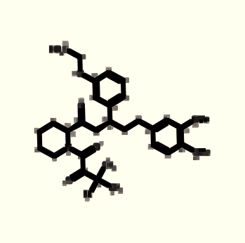 CCC(C)(C)C(=O)C(=O)N1CCCC[C@H]1C(=O)C[C@H](CCc1ccc(OC)c(OC)c1)c1cccc(OCC(=O)O)c1